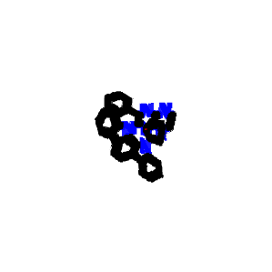 c1ccc(-c2nc3nccnc3nc2-n2c3ccccc3c3ccc4c5ccccc5n(-c5ccccc5)c4c32)cc1